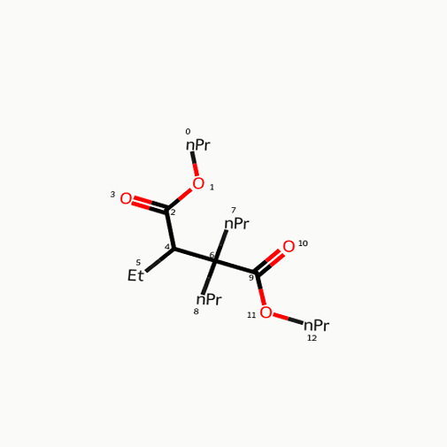 CCCOC(=O)C(CC)C(CCC)(CCC)C(=O)OCCC